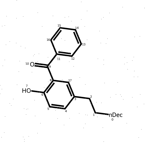 CCCCCCCCCCCCc1ccc(O)c(C(=O)c2ccccc2)c1